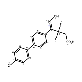 O=C(O)CC(F)(F)/C(=N\O)c1ccc(-c2ccc(Cl)cc2)cc1